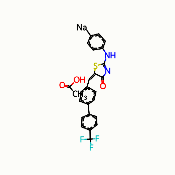 CC(=O)O.O=C1N=C(Nc2cc[c]([Na])cc2)S/C1=C/c1ccc(-c2ccc(C(F)(F)F)cc2)cc1